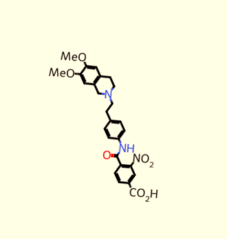 COc1cc2c(cc1OC)CN(CCc1ccc(NC(=O)c3ccc(C(=O)O)cc3[N+](=O)[O-])cc1)CC2